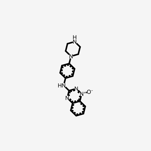 [O-][n+]1nc(Nc2ccc(N3CCNCC3)cc2)nc2ccccc21